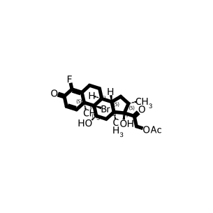 CC(=O)OCC(=O)[C@@]1(O)[C@@H](C)C[C@H]2[C@@H]3CCC4=C(F)C(=O)C=C[C@]4(C)[C@@]3(Br)[C@@H](O)C[C@@]21C